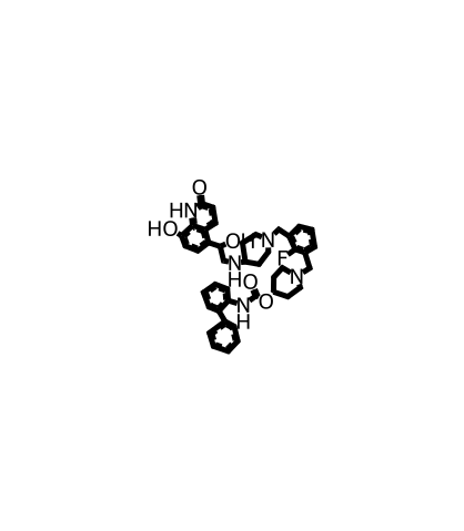 O=C(Nc1ccccc1-c1ccccc1)OC1CCN(Cc2cccc(CN3CCC(NCC(O)c4ccc(O)c5[nH]c(=O)ccc45)CC3)c2F)CC1